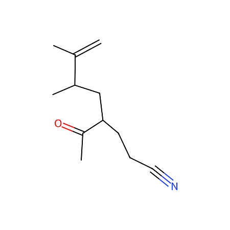 C=C(C)C(C)CC(CCC#N)C(C)=O